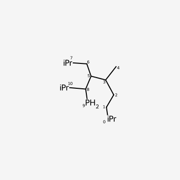 CC(C)CCC(C)C(CC(C)C)C(P)C(C)C